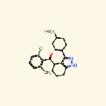 Cc1cccc(Cl)c1C(=O)C1CCCc2[nH]nc(C3CCC(C(=O)O)CC3)c21